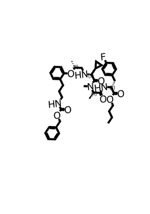 CCCCOC(=O)[C@@H](Cc1ccc(F)cc1)NC(=O)[C@@H](C)N(C)C(=O)[C@@H](NC[C@@H](C)Oc1ccccc1CCCNC(=O)OCc1ccccc1)C1CC1